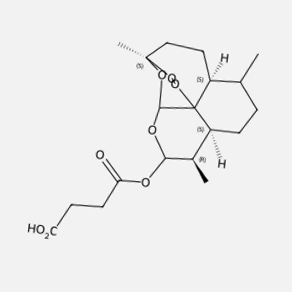 CC1CC[C@H]2[C@@H](C)C(OC(=O)CCC(=O)O)OC3O[C@]4(C)CC[C@@H]1C32OO4